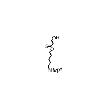 CCCCCCCCCCCCOC(=S)CCO